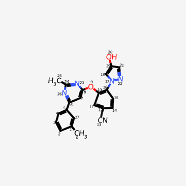 Cc1cccc(-c2cc(Oc3cc(C#N)ccc3-n3cc(O)cn3)nc(C)n2)c1